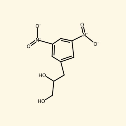 O=[N+]([O-])c1cc(CC(O)CO)cc([N+](=O)[O-])c1